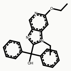 CCOc1cc2c(cn1)nc(C(O)(c1ccccc1)c1ccccc1)n2CC